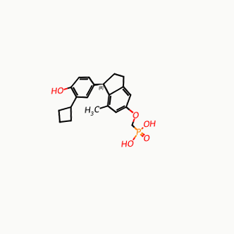 Cc1cc(OCP(=O)(O)O)cc2c1[C@@H](c1ccc(O)c(C3CCC3)c1)CC2